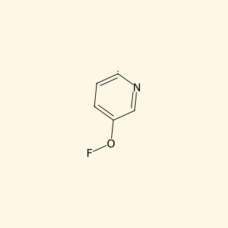 FOc1cc[c]nc1